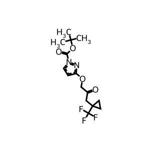 CC(C)(C)OC(=O)n1ccc(OCC(=O)CC2(C(F)(F)F)CC2)n1